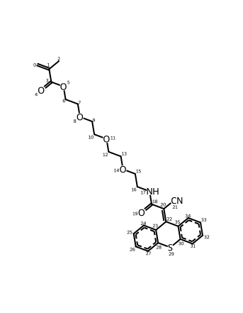 C=C(C)C(=O)OCCOCCOCCOCCNC(=O)C(C#N)=C1c2ccccc2Sc2ccccc21